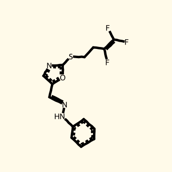 FC(F)=C(F)CCSc1ncc(/C=N/Nc2ccccc2)o1